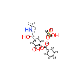 CC(C)(C)NCC(O)c1ccc(OC(=O)c2ccccc2)c(O)c1.CS(=O)(=O)O